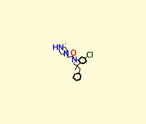 C[C@@H]1CN(CC(=O)N2CC(C)(Cc3ccccc3)c3ccc(Cl)cc32)CCN1